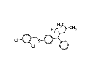 CC(CN(C)C)C(c1ccccc1)c1ccc(SCc2ccc(Cl)cc2Cl)cc1